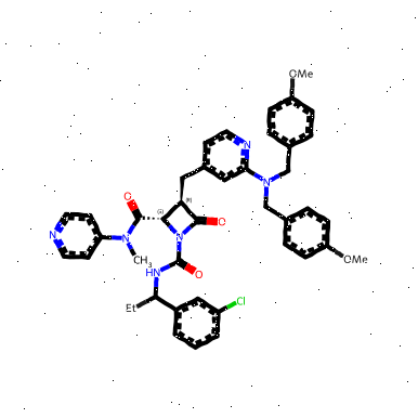 CCC(NC(=O)N1C(=O)[C@H](Cc2ccnc(N(Cc3ccc(OC)cc3)Cc3ccc(OC)cc3)c2)[C@H]1C(=O)N(C)c1ccncc1)c1cccc(Cl)c1